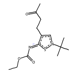 CCOC(=O)/N=c1\sn(C(C)(C)C)cc1CCC(C)=O